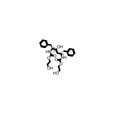 O=C(N[C@@H](Cc1ccccc1)C[C@H](O)[C@H](Cc1ccccc1)NC(=O)OCCO)OCCO